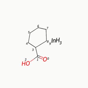 O=C(O)C1CCCCC1.[InH3]